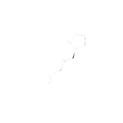 CC(C)(C)OC(=O)[N]C(=O)[C@@H]1CCCN1